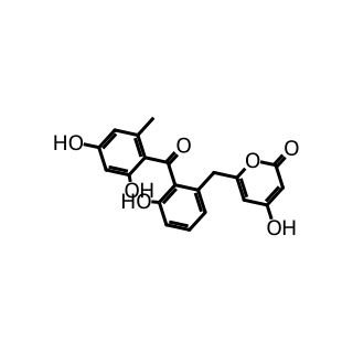 Cc1cc(O)cc(O)c1C(=O)c1c(O)cccc1Cc1cc(O)cc(=O)o1